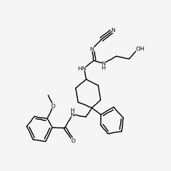 COc1ccccc1C(=O)NCC1(c2ccccc2)CCC(N/C(=N/C#N)NCCO)CC1